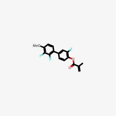 C=C(C)C(=O)Oc1ccc(-c2ccc(OC)c(F)c2F)cc1F